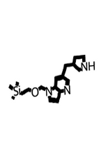 C[Si](C)(C)CCOCN1C=CC2N=CC(CC3CCNC3)=CC21